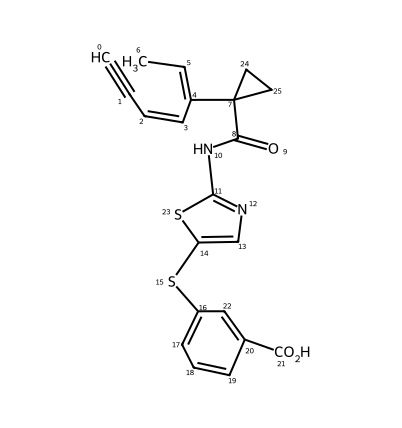 C#C/C=C\C(=C/C)C1(C(=O)Nc2ncc(Sc3cccc(C(=O)O)c3)s2)CC1